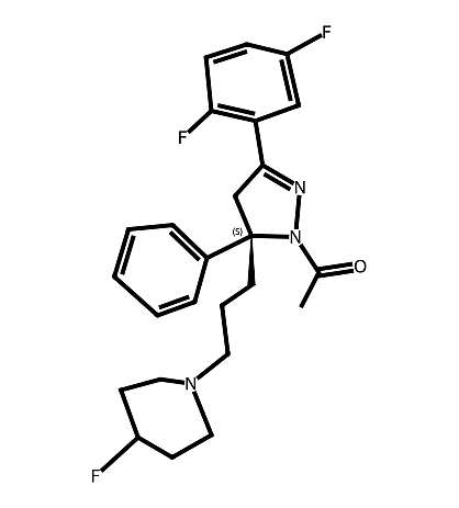 CC(=O)N1N=C(c2cc(F)ccc2F)C[C@@]1(CCCN1CCC(F)CC1)c1ccccc1